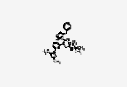 Cc1cc(C)n(-c2cccc(C(CC(=O)OC(C)(C)C)C(=O)N3C(=O)OCC3Cc3ccccc3)c2)n1